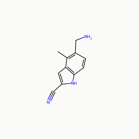 Cc1c(CN)ccc2[nH]c(C#N)cc12